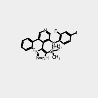 C[Si](C)(C)c1[nH]nnc1-c1c(Nc2ccc(I)cc2F)cncc1-c1ccccc1F